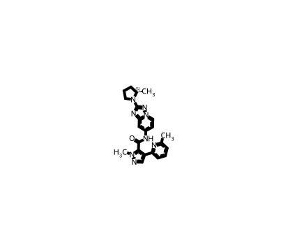 Cc1cccc(-c2cnn(C)c2C(=O)Nc2ccn3nc(N4CCC[C@@H]4C)nc3c2)n1